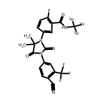 [2H]C([2H])([2H])NC(=O)c1cc(N2C(=S)N(c3ccc(C#N)c(C(F)(F)F)c3)C(=O)C2(C)C)ccc1F